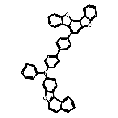 c1ccc(N(c2ccc(-c3ccc(-c4cc5oc6ccccc6c5c5oc6ccccc6c45)cc3)cc2)c2ccc3c(c2)oc2ccc4ccccc4c23)cc1